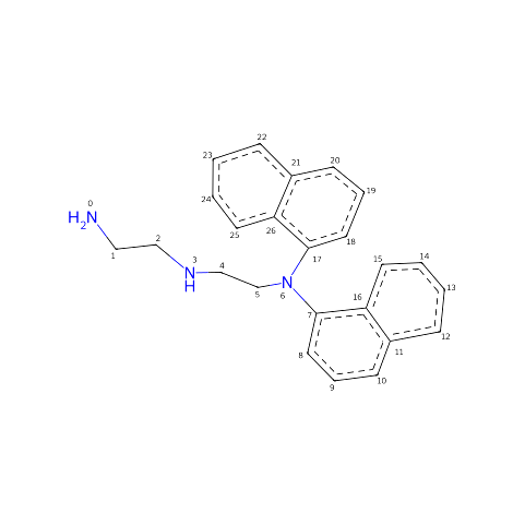 NCCNCCN(c1cccc2ccccc12)c1cccc2ccccc12